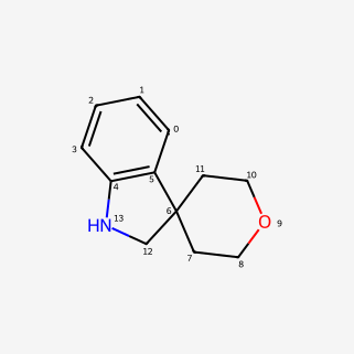 [c]1cccc2c1C1(CCOCC1)CN2